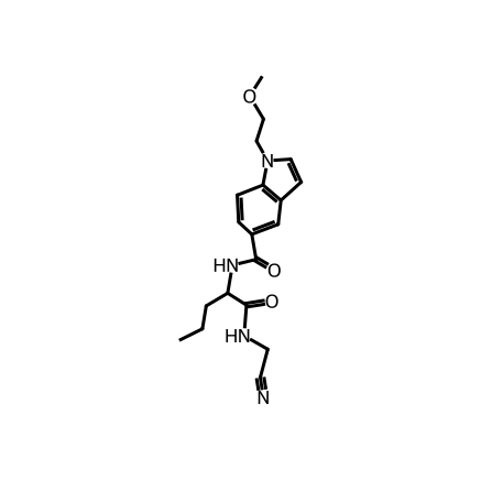 CCCC(NC(=O)c1ccc2c(ccn2CCOC)c1)C(=O)NCC#N